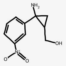 NC1(c2cccc([N+](=O)[O-])c2)CC1CO